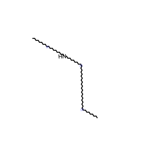 CCCCCCCC/C=C\CCCCCCCCCCCCCCCCCCCC/C=C\CCCCCCCCNCCCCCCCC/C=C/CCCCCCCC